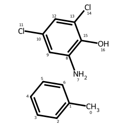 Cc1ccccc1.Nc1cc(Cl)cc(Cl)c1O